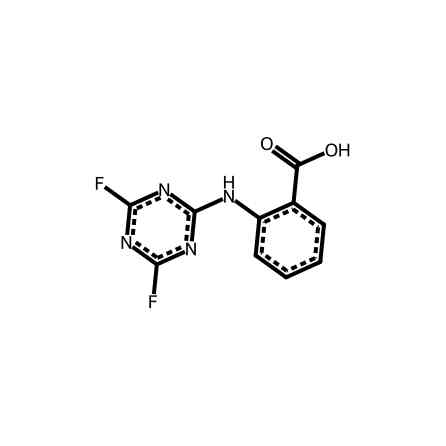 O=C(O)c1ccccc1Nc1nc(F)nc(F)n1